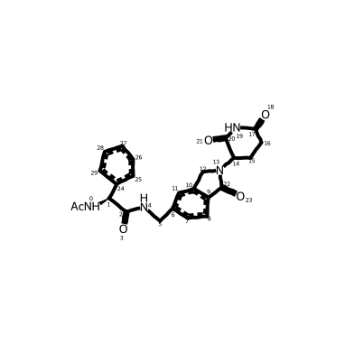 CC(=O)N[C@H](C(=O)NCc1ccc2c(c1)CN(C1CCC(=O)NC1=O)C2=O)c1ccccc1